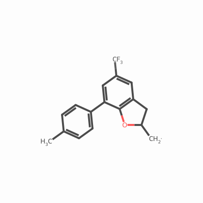 [CH2]C1Cc2cc(C(F)(F)F)cc(-c3ccc(C)cc3)c2O1